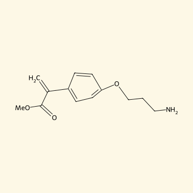 C=C(C(=O)OC)c1ccc(OCCCN)cc1